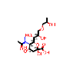 CC(=O)N[C@H]1[C@H]([C@H](O)[C@H](O)COCC(C)O)O[C@](O)(C(=O)O)C[C@@H]1O